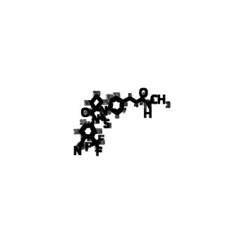 CNC(=O)CCc1ccc(N2C(=S)N(c3ccc(C#N)c(C(F)(F)F)c3)C(=O)C23CCC3)cc1